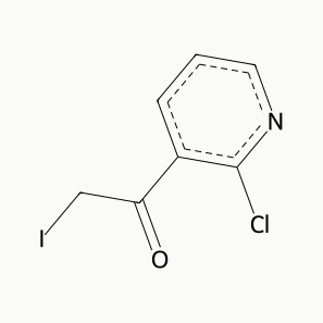 O=C(CI)c1cccnc1Cl